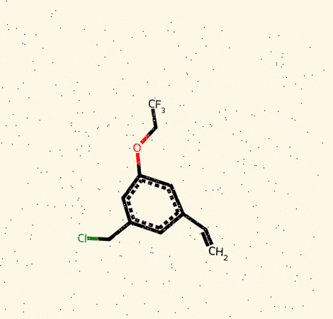 C=Cc1cc(CCl)cc(OCC(F)(F)F)c1